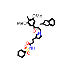 COc1cc([C@@H](O)[C@H](CC2Cc3ccccc3C2)Cn2ccc(CCC(=O)NS(=O)(=O)c3ccccc3)c2)cc(OC)c1C